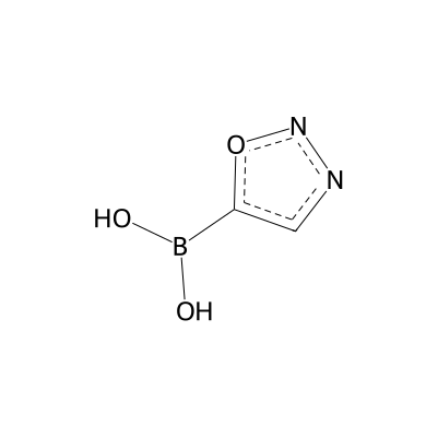 OB(O)c1cnno1